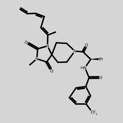 C=C/C=C\C=C(/C)N1C(=O)N(C)C(=O)C12CCN(C(=O)[C@H](NC(=O)c1cccc(C(F)(F)F)c1)C(C)C)CC2